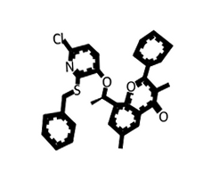 Cc1cc([C@@H](C)Oc2ccc(Cl)nc2SCc2ccccc2)c2oc(-c3ccccc3)c(C)c(=O)c2c1